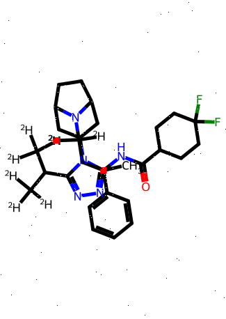 [2H]C([2H])([2H])C(c1nnc(C)n1C1CC2CCC(C1)N2C([2H])([2H])CC(NC(=O)C1CCC(F)(F)CC1)c1ccccc1)C([2H])([2H])[2H]